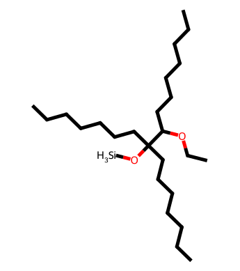 CCCCCCCC(OCC)C(CCCCCCC)(CCCCCCC)O[SiH3]